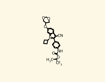 C[C@@H](OC(=O)Nc1ccc(-c2c(C#N)c3ccc(OC4COCOC4)cc3n2C2CCC2)cc1)C(F)(F)F